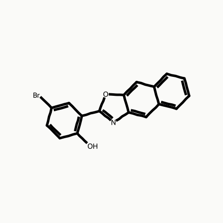 Oc1ccc(Br)cc1-c1nc2cc3ccccc3cc2o1